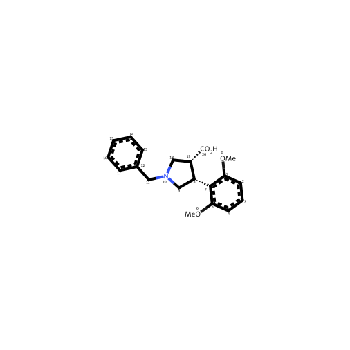 COc1cccc(OC)c1[C@@H]1CN(Cc2ccccc2)C[C@@H]1C(=O)O